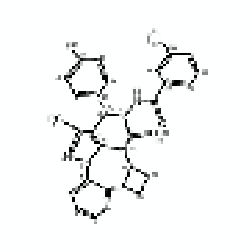 Cc1nn(-c2ccccc2)c2c1[C@H](c1ccc(F)cc1)C(NC(=O)c1cccc(C(F)(F)F)c1)C(=O)N2C1CCC1